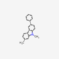 Cc1ccc2c3cc(-c4ccccc4)ccc3n(C)c2c1